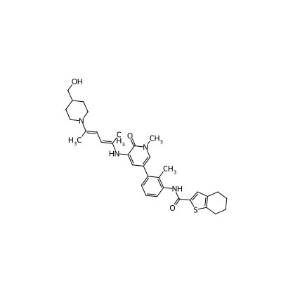 C/C(=C\C=C(/C)N1CCC(CO)CC1)Nc1cc(-c2cccc(NC(=O)c3cc4c(s3)CCCC4)c2C)cn(C)c1=O